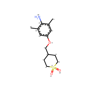 Cc1cc(OCC2CCS(=O)(=O)CC2)cc(C)c1N